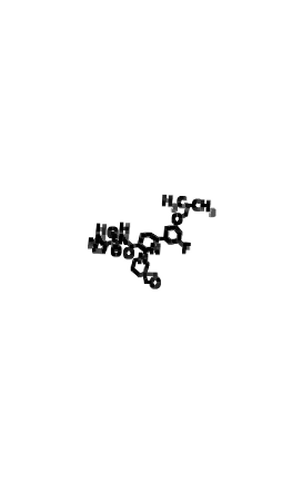 CC(C)COc1cc(F)cc(-c2ccc(C(=O)NS(=O)(=O)c3ccn[nH]3)c(N3CCCC4(COC4)C3)n2)c1